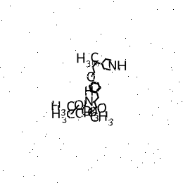 COC(=O)C(Cc1ccc(OCC[C@@H](C)C2CCNCC2)cc1)NC(=O)OC(C)(C)C